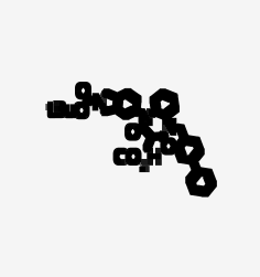 CC(C)(C)OC(=O)N1Cc2ccc(N3C(=O)C(CC(=O)O)C(=O)N(Cc4ccc(-c5ccccc5)cc4)c4ccccc43)cc2C1